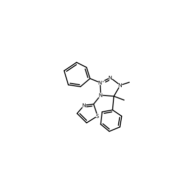 CN1N=[N+](c2ccccc2)N(c2nccs2)C1(C)c1ccccc1